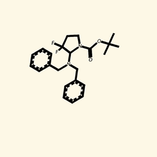 CC(C)(C)OC(=O)N1CCC(F)(F)C1N(Cc1ccccc1)Cc1ccccc1